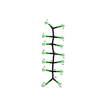 Br[C](Br)C(Br)(Br)C(Br)(Br)C(Br)(Br)C(Br)(Br)C(Br)(Br)[C](Br)Br